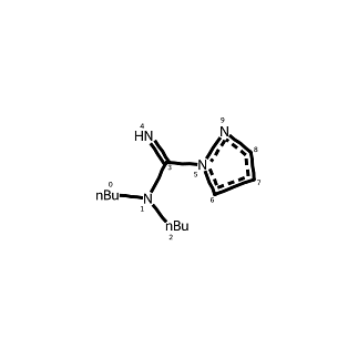 CCCCN(CCCC)C(=N)n1cccn1